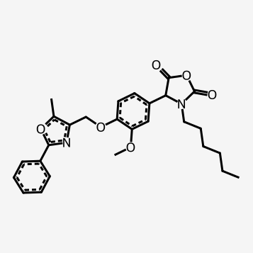 CCCCCCN1C(=O)OC(=O)C1c1ccc(OCc2nc(-c3ccccc3)oc2C)c(OC)c1